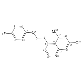 Fc1ccc(OCCc2ccnc3cc(Cl)cc(Cl)c23)cc1